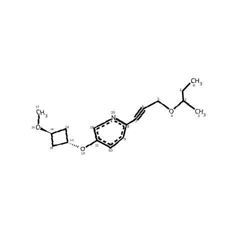 CCC(C)OCC#Cc1ccc(O[C@H]2C[C@H](OC)C2)cn1